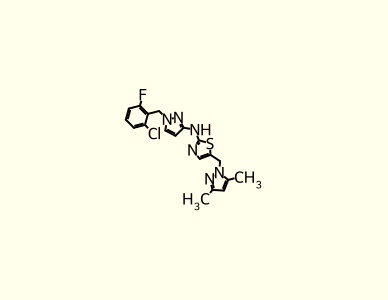 Cc1cc(C)n(Cc2cnc(Nc3ccn(Cc4c(F)cccc4Cl)n3)s2)n1